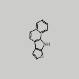 c1ccc2c(c1)ccc1c3ccsc3[nH]c21